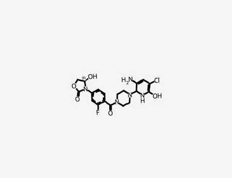 NC1=CC(Cl)=C(O)NC1N1CCN(C(=O)c2ccc(N3C(=O)OC[C@H]3O)cc2F)CC1